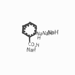 O=C(O)c1ccccc1.[NaH].[NaH].[NaH].[NaH]